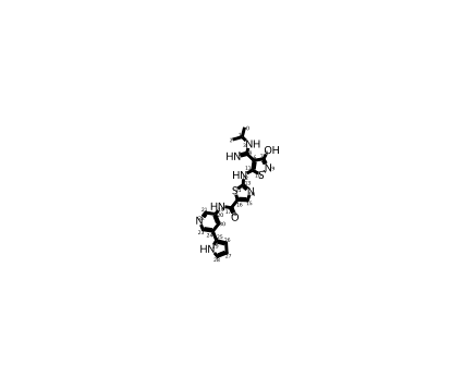 CC(C)NC(=N)c1c(O)nsc1Nc1ncc(C(=O)Nc2cncc(-c3ccc[nH]3)c2)s1